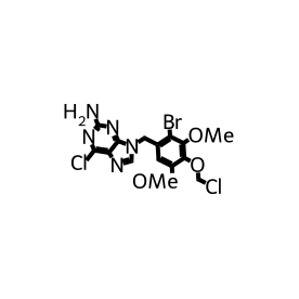 COc1cc(Cn2cnc3c(Cl)nc(N)nc32)c(Br)c(OC)c1OCCl